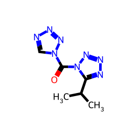 CC(C)c1nnnn1C(=O)n1cnnn1